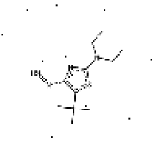 CCN(CC)c1nc(N=N)c(C(C)(C)C)s1